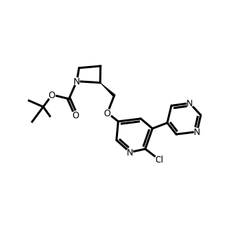 CC(C)(C)OC(=O)N1CC[C@H]1COc1cnc(Cl)c(-c2cncnc2)c1